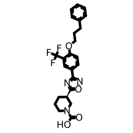 O=C(O)N1CCC[C@@H](c2nc(-c3ccc(OCCCc4ccccc4)c(C(F)(F)F)c3)no2)C1